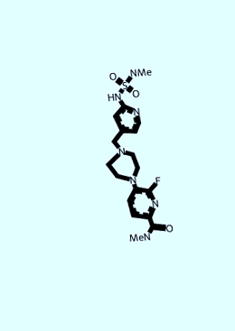 CNC(=O)c1ccc(N2CCN(Cc3ccnc(NS(=O)(=O)NC)c3)CC2)c(F)n1